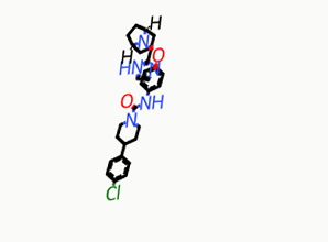 O=C(Nc1ccc(O[C@H]2C[C@H]3CC[C@@H](C2)N3Cc2ncc[nH]2)cc1)N1CCC(c2ccc(Cl)cc2)CC1